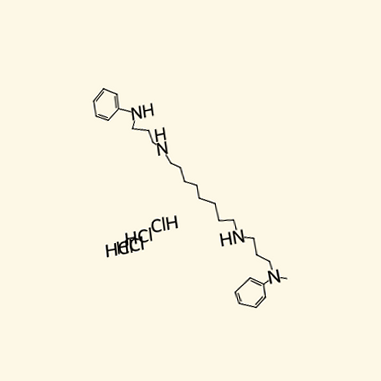 CN(CCCNCCCCCCCCNCCCNc1ccccc1)c1ccccc1.Cl.Cl.Cl.Cl